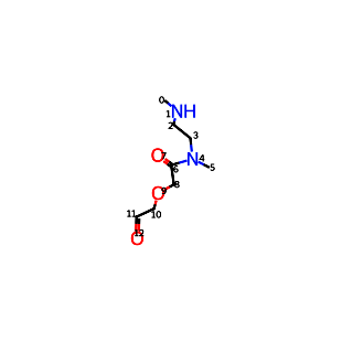 CNCCN(C)C(=O)COCC=O